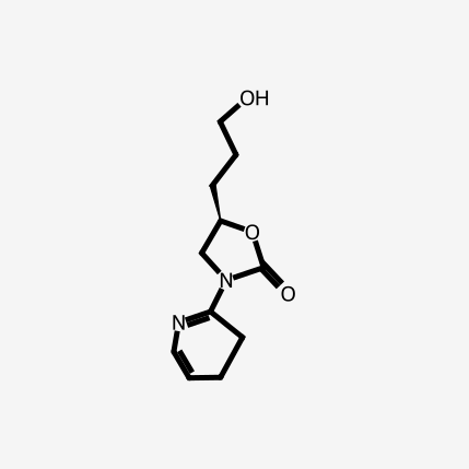 O=C1O[C@H](CCCO)CN1C1=NC=CCC1